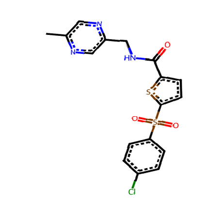 Cc1cnc(CNC(=O)c2ccc(S(=O)(=O)c3ccc(Cl)cc3)s2)cn1